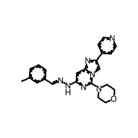 Cc1cccc(/C=N/Nc2cc3nc(-c4ccncc4)cn3c(N3CCOCC3)n2)c1